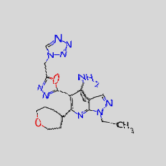 CCn1ncc2c(N)c(-c3nnc(Cn4cnnn4)o3)c(C3CCOCC3)nc21